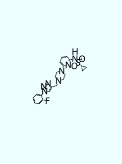 O=S(=O)(Nc1cccc(N2CCN(Cc3cn(-c4ccccc4F)nn3)CC2)n1)C1CC1